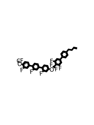 C=CCCc1ccc(-c2cc(F)c(C(F)(F)Oc3ccc(-c4ccc(-c5ccc(OC(F)(F)F)c(F)c5)c(F)c4)c(F)c3)c(F)c2)cc1